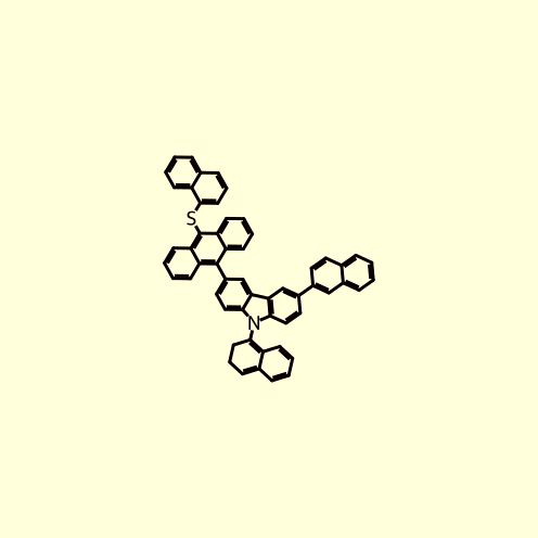 C1=c2ccccc2=C(n2c3ccc(-c4ccc5ccccc5c4)cc3c3cc(-c4c5ccccc5c(Sc5cccc6ccccc56)c5ccccc45)ccc32)CC1